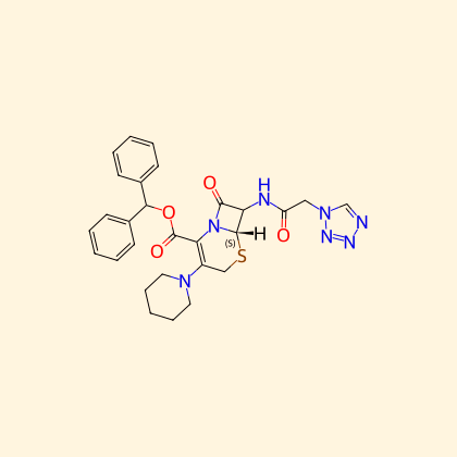 O=C(Cn1cnnn1)NC1C(=O)N2C(C(=O)OC(c3ccccc3)c3ccccc3)=C(N3CCCCC3)CS[C@@H]12